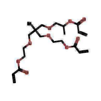 C=CC(=O)OCCOCC(CC)(COCCOC(=O)C=C)COCC(C)OC(=O)C=C